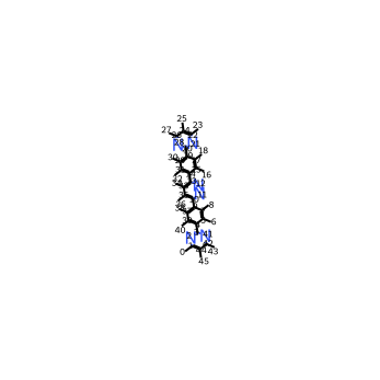 Cc1nc(-c2c(C)c(C)c(-c3nnc(-c4c(C)c(C)c(-c5nc(C)c(C)c(C)n5)c(C)c4C)c(C)c3C)c(C)c2C)nc(C)c1C